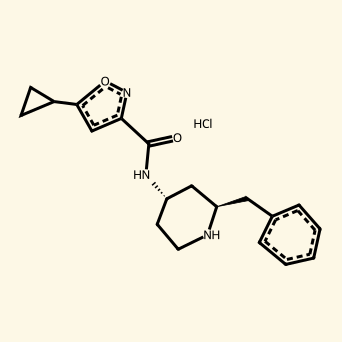 Cl.O=C(N[C@H]1CCN[C@H](Cc2ccccc2)C1)c1cc(C2CC2)on1